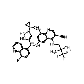 CC1(N2C=C([C@@H](Nc3cc(Cl)c4ncc(C#N)c(NCC(C)(C)C(F)(F)F)c4c3)c3ccc(F)c4ncccc34)NN2)CC1